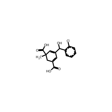 CC1(C(=O)O)C=C(C(O)c2ccccc2Cl)C=C(C(=O)O)C1